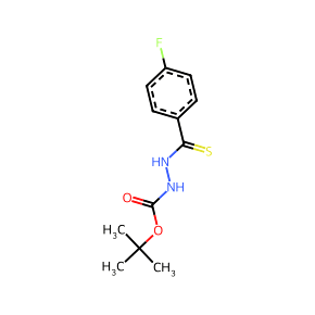 CC(C)(C)OC(=O)NNC(=S)c1ccc(F)cc1